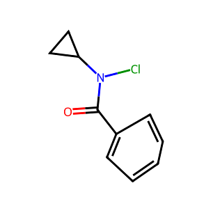 O=C(c1ccccc1)N(Cl)C1CC1